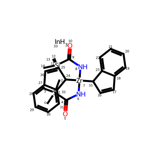 C[Si](C)(C)C(=O)[NH][Zr]([NH]C(=O)[Si](C)(C)C)([CH]1C=Cc2ccccc21)[CH]1C=Cc2ccccc21.[InH3]